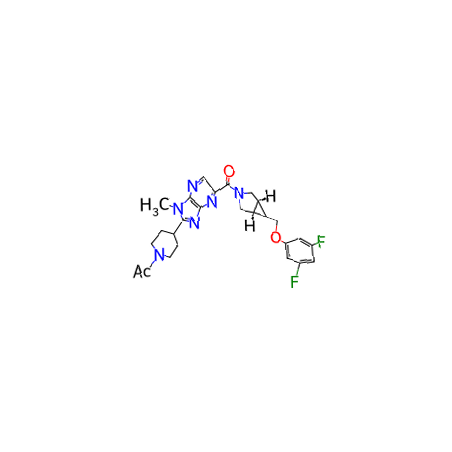 CC(=O)N1CCC(c2nc3nc(C(=O)N4C[C@@H]5C(COc6cc(F)cc(F)c6)[C@@H]5C4)cnc3n2C)CC1